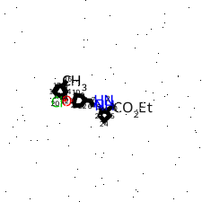 CCOC(=O)C(=N)C1=C(NCCC2CCC(Oc3cc(C)ccc3Cl)CC2)CCC1